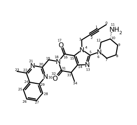 CC#CCn1c(N2CCC[C@@H](N)C2)nc2c1C(=O)N(Cc1nc(C)c3ccccc3n1)C(=O)C2C